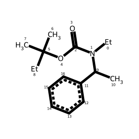 CCN(C(=O)OC(C)(C)CC)C(C)c1ccccc1